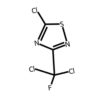 FC(Cl)(Cl)c1nsc(Cl)n1